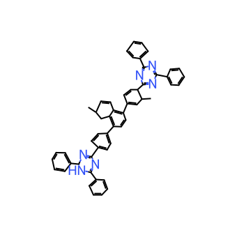 CC1C=Cc2c(C3=CC(C)C(c4nc(-c5ccccc5)nc(-c5ccccc5)n4)C=C3)ccc(-c3ccc(C4=NC(c5ccccc5)NC(c5ccccc5)=N4)cc3)c2C1